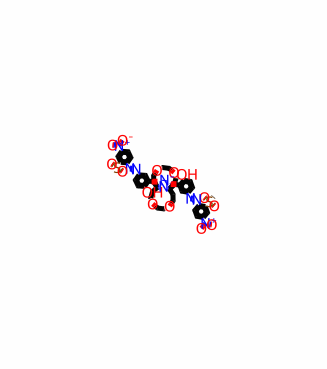 CS(=O)(=O)c1cc([N+](=O)[O-])ccc1/N=N/c1ccc(O)c(CC23CCOCCOCCC(Cc4cc(/N=N/c5ccc([N+](=O)[O-])cc5S(C)(=O)=O)ccc4O)(CCOCCOCC2)[N+]3=[N-])c1